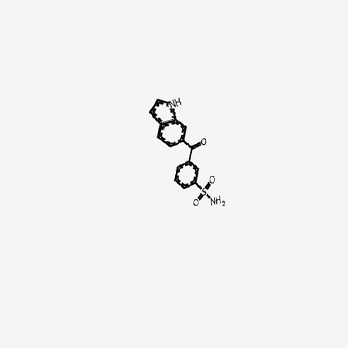 NS(=O)(=O)c1cccc(C(=O)c2ccc3cc[nH]c3c2)c1